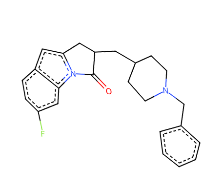 O=C1C(CC2CCN(Cc3ccccc3)CC2)Cc2cc3ccc(F)cc3n21